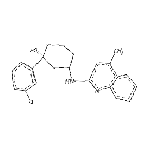 Cc1cc(NC2CC[CH][C@](O)(c3cccc(Cl)c3)C2)nc2ccccc12